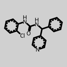 O=C(Nc1ccccc1Cl)NC(c1ccccc1)c1ccncc1